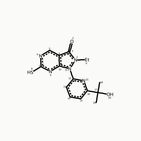 CCn1c(=O)c2cnc(S)nc2n1-c1cccc(C(C)(C)O)n1